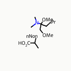 CCCCCCCCCC(C)C(=O)O.COCC(CC(C)C)(OC)N(C)C